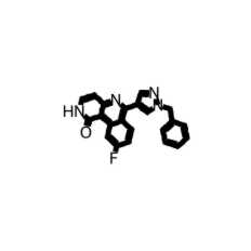 O=c1[nH]ccc2nc(-c3cnn(Cc4ccccc4)c3)c3ccc(F)cc3c12